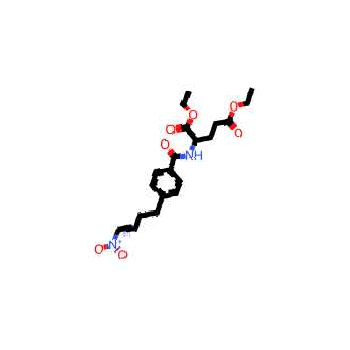 CCOC(=O)CCC(NC(=O)c1ccc(CC/C=C/[N+](=O)[O-])cc1)C(=O)OCC